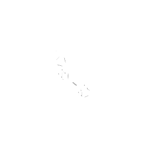 Cc1ccc(-n2cc(C#Cc3ncccn3)cn2)cc1